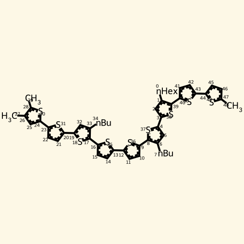 CCCCCCc1cc(-c2cc(CCCC)c(-c3ccc(-c4ccc(-c5sc(-c6ccc(-c7cc(C)c(C)s7)s6)cc5CCCC)s4)s3)s2)sc1-c1ccc(-c2ccc(C)s2)s1